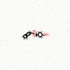 CC(C)(OC(=O)C1CC2CC1C1C3C=CC(C3)C21)C1CCC(O)CC1